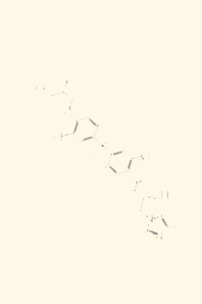 C[C@H](CCl)COc1ccc(C(C)(C)c2ccc(OC[C@@H](O)Cn3ccnc3)c(Cl)c2)cc1Cl